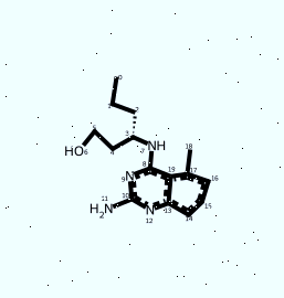 CCC[C@@H](CCO)Nc1nc(N)nc2cccc(C)c12